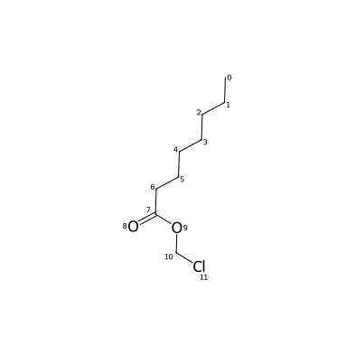 CCCCCCCC(=O)OCCl